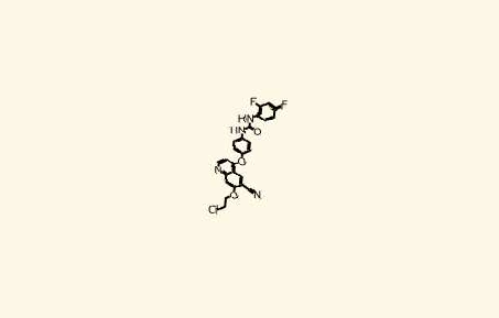 N#Cc1cc2c(Oc3ccc(NC(=O)Nc4ccc(F)cc4F)cc3)ccnc2cc1OCCCl